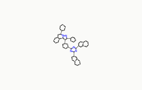 c1ccc(-c2nn3c(-c4ccccc4)cc4ccccc4c3c2-c2cccc(-c3nc(-c4ccc5ccccc5c4)nc(-c4ccc5ccccc5c4)n3)c2)cc1